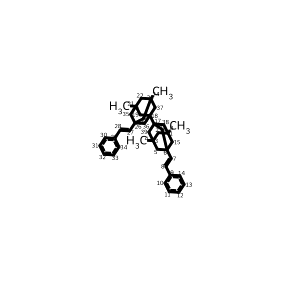 CC12CC3(C)CC(/C=C/c4ccccc4)(C1)CC(C14CC5(C)CC(C)(CC(/C=C/c6ccccc6)(C5)C1)C4)(C2)C3